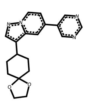 c1ncc(-c2ccn3ncc(C4CCC5(CC4)OCCO5)c3c2)cn1